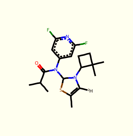 [2H]C1=C(C)SC(N(C(=O)C(C)C)c2cc(F)nc(F)c2)N1C1CCC1(C)C